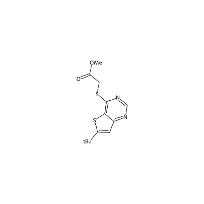 COC(=O)CSc1ncnc2cc(C(C)(C)C)sc12